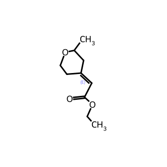 CCOC(=O)/C=C1\CCOC(C)C1